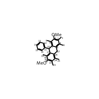 COc1c(C)c(C)c2c(c1C)C(c1ccccc1)c1c(C)c(OC)c(C)c(C)c1C2